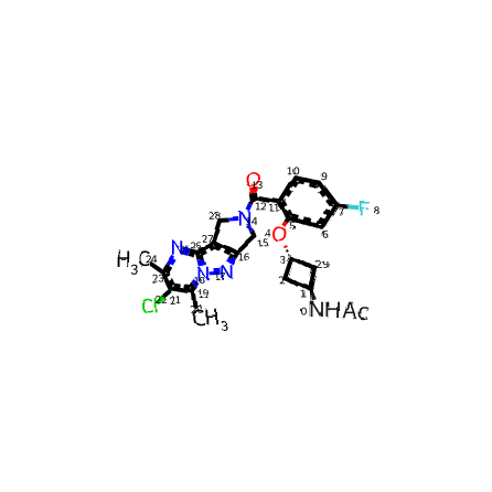 CC(=O)N[C@H]1C[C@H](Oc2cc(F)ccc2C(=O)N2Cc3nn4c(C)c(Cl)c(C)nc4c3C2)C1